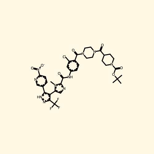 Cn1c(-c2c(C(F)(F)F)n[nH]c2-c2ccc([N+](=O)[O-])nc2)cnc1C(=O)Nc1ccc(C(=O)N2CCN(C(=O)C3CCN(C(=O)OC(C)(C)C)CC3)CC2)c(Cl)c1